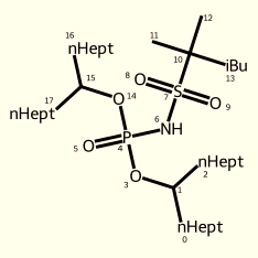 CCCCCCCC(CCCCCCC)OP(=O)(NS(=O)(=O)C(C)(C)C(C)CC)OC(CCCCCCC)CCCCCCC